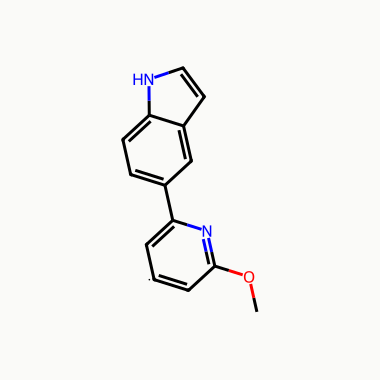 COc1c[c]cc(-c2ccc3[nH]ccc3c2)n1